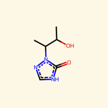 CC(O)C(C)n1nc[nH]c1=O